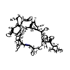 CO[C@H]1/C=C/[C@H](O)[C@H](C)C[S@@](=O)(NC(=O)c2cn(C)nc2C)=NC(=O)c2ccc3c(c2)N(C[C@@H]2CC[C@H]21)C[C@@]1(CCCc2cc(Cl)ccc21)CO3